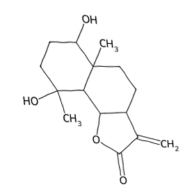 C=C1C(=O)OC2C1CCC1(C)C(O)CCC(C)(O)C21